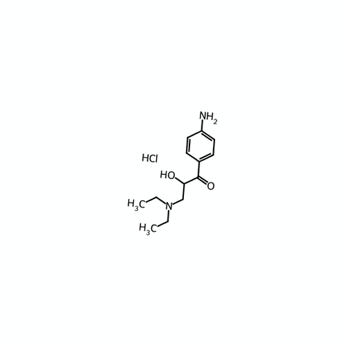 CCN(CC)CC(O)C(=O)c1ccc(N)cc1.Cl